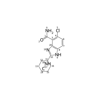 NC(=O)c1c(Cl)ccc2[nH]c(C34CCC(CC3)CN4)nc12